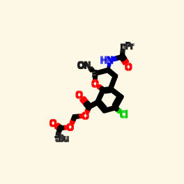 CCCC(=O)N[C@H]1Cc2cc(Cl)cc(C(=O)OCOC(=O)C(C)(C)C)c2OB1N=O